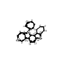 c1ccc(-n2c3ccncc3c3ccc4sc5c(c4c32)CCCC5)cc1